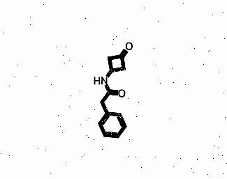 O=C1CC(NC(=O)Cc2ccccc2)C1